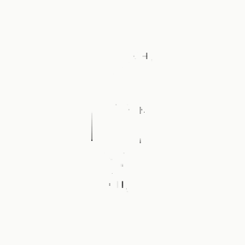 COC1=NC[C@H](C)C=C1